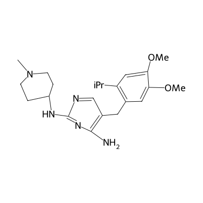 COc1cc(Cc2cnc(NC3CCN(C)CC3)nc2N)c(C(C)C)cc1OC